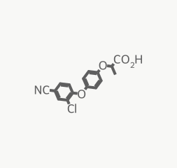 CC(Oc1ccc(Oc2ccc(C#N)cc2Cl)cc1)C(=O)O